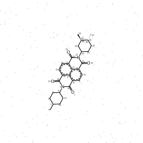 CC1CCC(N2C(=O)c3ccc4c5c(ccc(c35)C2=O)C(=O)N(C2CC[C@@H](C)[C@H](C)C2)C4=O)CC1